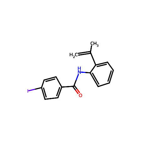 C=C(C)c1ccccc1NC(=O)c1ccc(I)cc1